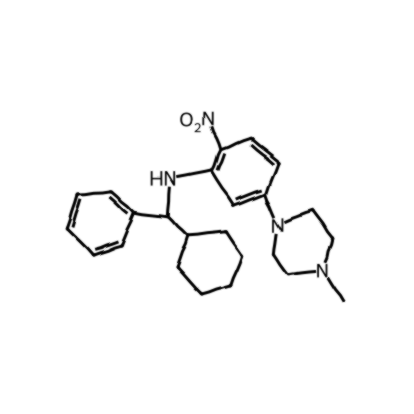 CN1CCN(c2ccc([N+](=O)[O-])c(NC(c3ccccc3)C3CCCCC3)c2)CC1